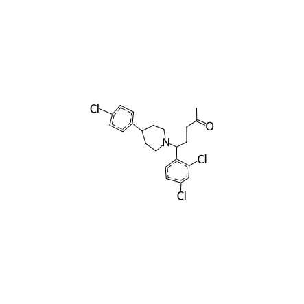 CC(=O)CCC(c1ccc(Cl)cc1Cl)N1CCC(c2ccc(Cl)cc2)CC1